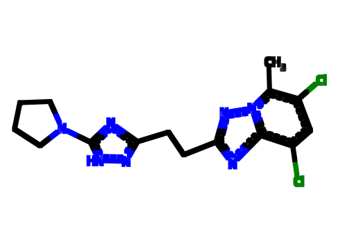 Cc1c(Cl)cc(Cl)c2nc(CCc3n[nH]c(N4CCCC4)n3)nn12